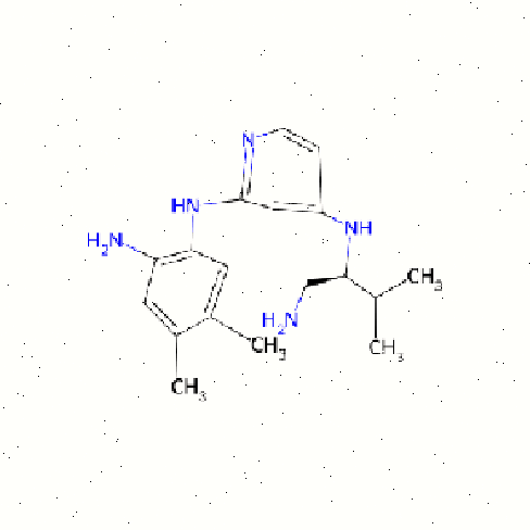 Cc1cc(N)c(Nc2cc(N[C@H](CN)C(C)C)ccn2)cc1C